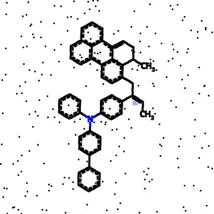 C/C=C(/Cc1ccc2c3c1C(C)CC=c3c1cccc3cccc2c31)c1ccc(N(c2ccccc2)c2ccc(-c3ccccc3)cc2)cc1